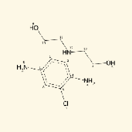 Nc1ccc(N)c(Cl)c1.OCCNCCO